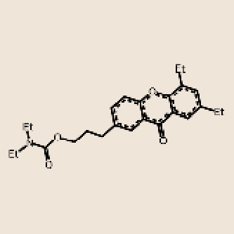 CCc1cc(CC)c2oc3ccc(CCCOC(=O)N(CC)CC)cc3c(=O)c2c1